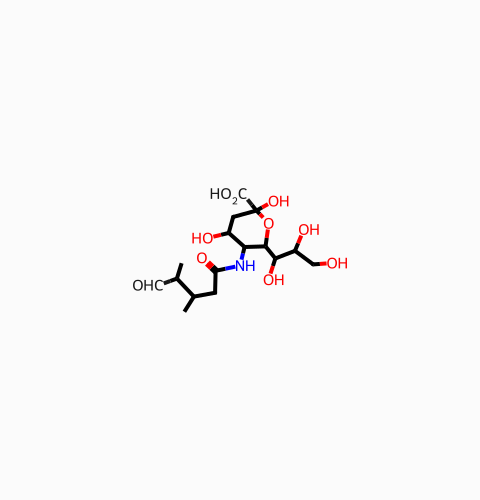 CC(C=O)C(C)CC(=O)NC1C(O)CC(O)(C(=O)O)OC1C(O)C(O)CO